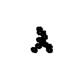 C[Si]1(C)c2ccccc2-c2cc(N(c3ccc(-c4ccccc4)cc3)c3cccc4c3sc3ccc5sc6c7ccccc7ccc6c5c34)ccc21